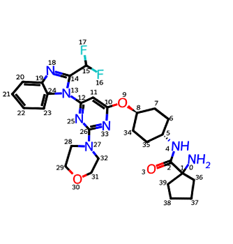 NC1(C(=O)N[C@H]2CC[C@H](Oc3cc(-n4c(C(F)F)nc5ccccc54)nc(N4CCOCC4)n3)CC2)CCCC1